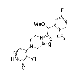 COC(c1cc(F)ccc1C(F)(F)F)c1cnc2n1CCN(c1cn[nH]c(=O)c1Cl)C2